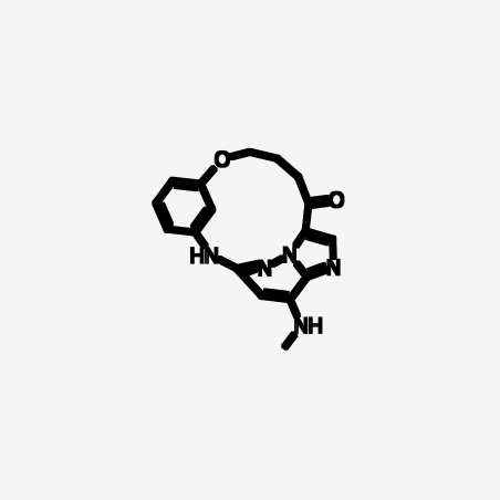 CNc1cc2nn3c(cnc13)C(=O)CCCOc1cccc(c1)N2